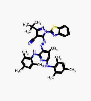 Cc1cc(C)c(Nc2cc(C)c(/N=N/c3c(C#N)c(C(C)(C)C)nn3-c3nc4ccccc4s3)c(Nc3c(C)cc(C)cc3C)n2)c(C)c1